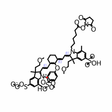 COCC[N+]1=C(/C=C/C2=C(Oc3ccc(S(=O)(=O)O)cc3)C(=C/C=C3/N(CCCCCC(=O)ON4C(=O)CCC4=O)c4c(C)cc(S(=O)(=O)O)cc4C3(C)CCOC)/CCC2)C(C)(CCOC)c2cc(SOO[O-])cc(C)c21